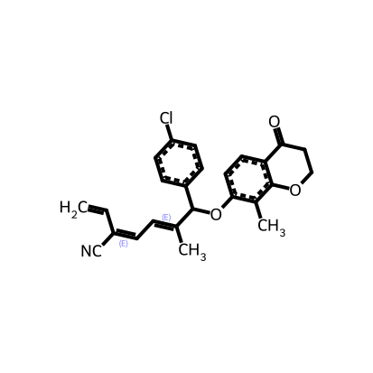 C=C/C(C#N)=C\C=C(/C)C(Oc1ccc2c(c1C)OCCC2=O)c1ccc(Cl)cc1